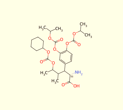 CC(C)OC(=O)Oc1ccc(C(C(C)C(C)OC(=O)OC2CCCCC2)[C@H](N)C(=O)O)cc1OC(=O)OC(C)C